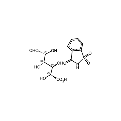 O=C1NS(=O)(=O)c2ccccc21.O=C[C@H](O)[C@@H](O)[C@@H](O)[C@H](O)C(=O)O